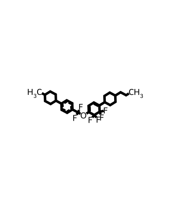 CCCC1CCC(C2=CC=C(OC(F)(F)c3ccc(C4CCC(C)CC4)cc3)C(F)(F)C2(F)F)CC1